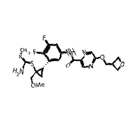 C/N=C(/N)S[C@@]1(COC)C[C@H]1c1cc(NC(=O)c2cnc(OCC3COC3)cn2)cc(F)c1F